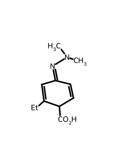 CCC1=C/C(=N/N(C)C)C=CC1C(=O)O